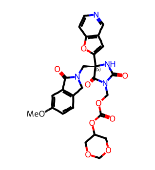 COc1ccc2c(c1)C(=O)N(C[C@@]1(c3cc4cnccc4o3)NC(=O)N(COC(=O)OC3COCOC3)C1=O)C2